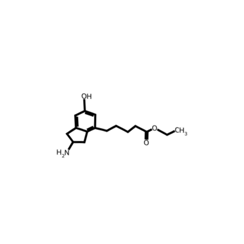 CCOC(=O)CCCCc1cc(O)cc2c1CC(N)C2